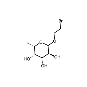 C[C@@H]1OC(OCCBr)[C@@H](O)[C@H](O)[C@@H]1O